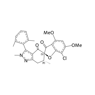 COc1cc(OC)c2c(c1Cl)O[C@]1(C2=O)C(=O)c2c(nn(C)c2-c2c(C)cccc2C)C[C@H]1C